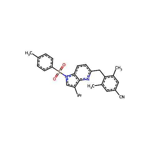 Cc1ccc(S(=O)(=O)n2cc(C(C)C)c3nc(Cc4c(C)cc(C#N)cc4C)ccc32)cc1